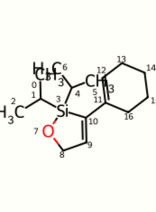 CC(C)[Si]1(C(C)C)OCC=C1C1=CCCCC1